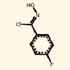 O/N=C(\Cl)c1ccc(F)cc1